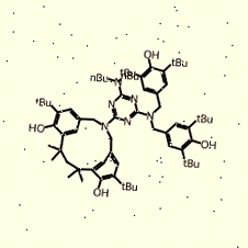 CCCCN(CCCC)c1nc(N(Cc2cc(C(C)(C)C)c(O)c(C(C)(C)C)c2)Cc2cc(C(C)(C)C)c(O)c(C(C)(C)C)c2)nc(N2Cc3cc(C(C)(C)C)c(O)c(c3)C(C)(C)CC(C)(C)c3cc(cc(C(C)(C)C)c3O)C2)n1